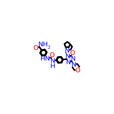 CN1C2CCC(C2)CC1Oc1nc(-c2ccc(NC(=O)Nc3ccc(C(N)=O)cc3)cc2)nc(N2CCOCC2)n1